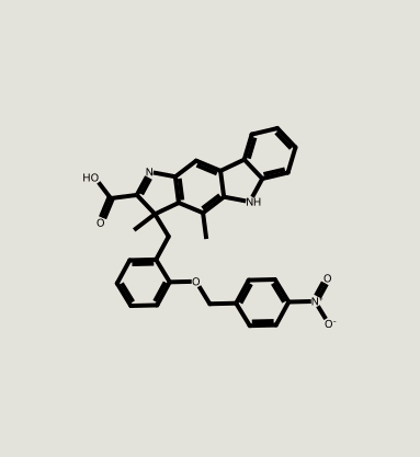 Cc1c2c(cc3c1[nH]c1ccccc13)N=C(C(=O)O)C2(C)Cc1ccccc1OCc1ccc([N+](=O)[O-])cc1